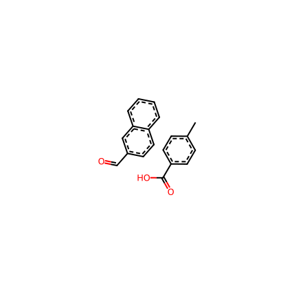 Cc1ccc(C(=O)O)cc1.O=Cc1ccc2ccccc2c1